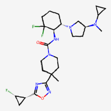 CN(C1CC1)[C@H]1CCN([C@H]2CCCC(F)(F)[C@@H]2NC(=O)N2CCC(C)(c3noc([C@@H]4C[C@@H]4F)n3)CC2)C1